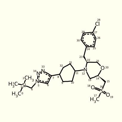 C[Si](C)(C)Cn1cc(C2CCC(N3C[C@H](CS(C)(=O)=O)OC[C@@H]3Cc3ccc(Cl)cc3)CC2)nn1